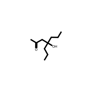 CCCC(O)(CCC)CC(C)=O